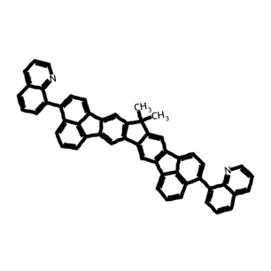 CC1(C)c2cc3c(cc2-c2cc4c(cc21)-c1ccc(-c2cccc5cccnc25)c2cccc-4c12)-c1cccc2c(-c4cccc5cccnc45)ccc-3c12